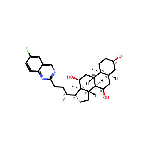 C[C@H](CCc1ncc2cc(F)ccc2n1)[C@H]1CC[C@H]2[C@@H]3[C@H](O)C[C@@H]4C[C@H](O)CC[C@]4(C)[C@H]3C[C@H](O)[C@]12C